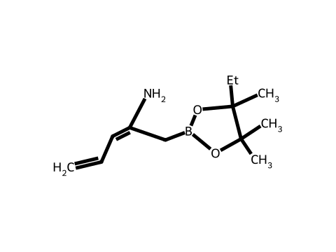 C=C/C=C(/N)CB1OC(C)(C)C(C)(CC)O1